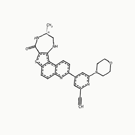 C#Cc1cc(-c2ccc3c(ccc4sc5c(c43)NC[C@@H](C)NC5=O)n2)cc(N2CCOCC2)n1